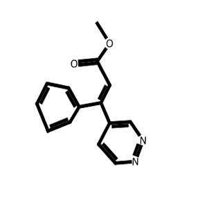 COC(=O)/C=C(\c1ccccc1)c1ccnnc1